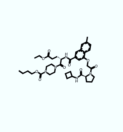 CCCCOC(=O)N1CCN(C(=O)[C@H](CCC(=O)OCC)NC(=O)c2cc(OCC(=O)N3CCC[C@H]3C(=O)NC3CCC3)c3ccc(C)cc3c2)CC1